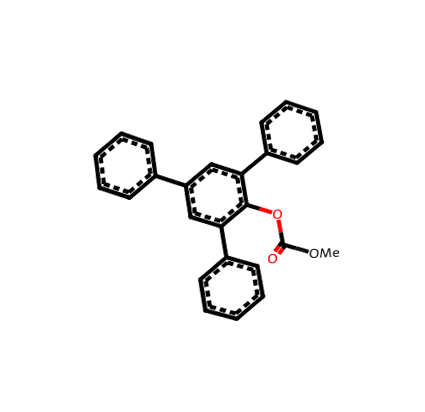 COC(=O)Oc1c(-c2ccccc2)cc(-c2ccccc2)cc1-c1ccccc1